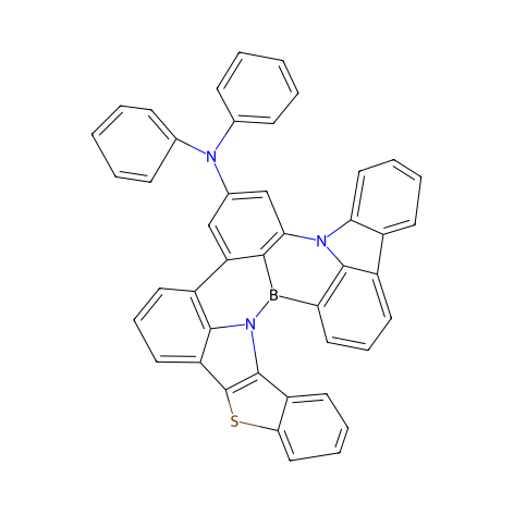 c1ccc(N(c2ccccc2)c2cc3c4c(c2)-n2c5ccccc5c5cccc(c52)B4n2c4c-3cccc4c3sc4ccccc4c32)cc1